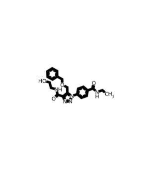 CCNC(=O)c1ccc(-n2nnc(C(=O)NCCO)c2COCc2ccccc2)cc1